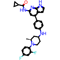 C[C@H]1CC(Nc2ccc(-c3cc(NC(=O)C4CC4)nc4[nH]ccc34)cc2)CCN1c1ccc(F)cc1F